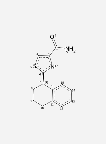 NC(=O)c1csc([C@@H]2CCCc3ccccc32)n1